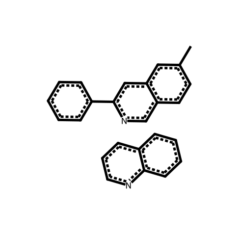 Cc1ccc2cnc(-c3ccccc3)cc2c1.c1ccc2ncccc2c1